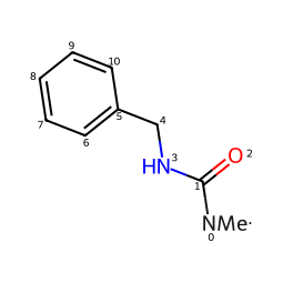 C[N]C(=O)NCc1ccccc1